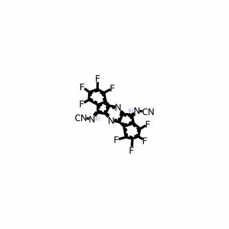 [C-]#[N+]/N=c1/c2nc3c(nc2c2c(F)c(F)c(F)c(F)c12)/c(=N/C#N)c1c(F)c(F)c(F)c(F)c13